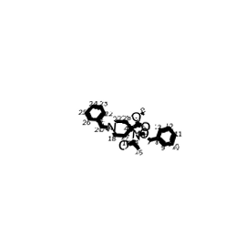 COC(=O)C1(N(OCc2ccccc2)C(C)=O)CCN(Cc2ccccc2)CC1